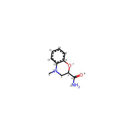 CN1CC(C(N)=O)Oc2ccccc21